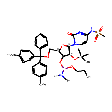 COc1ccc(C(OC[C@H]2O[C@@H](n3ccc(NS(C)(=O)=O)nc3=O)[C@@H](O[Si](C)(C)C(C)(C)C)C2OP(OCCC#N)N(C(C)C)C(C)C)(c2ccccc2)c2ccc(OC)cc2)cc1